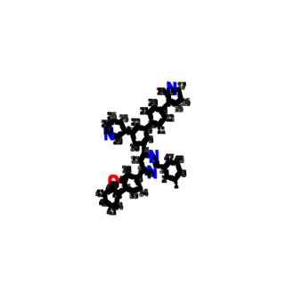 c1ccc(-c2nc(-c3cc(-c4ccc(-c5cccnc5)cc4)cc(-c4cccnc4)c3)cc(-c3ccc4c(c3)oc3ccccc34)n2)cc1